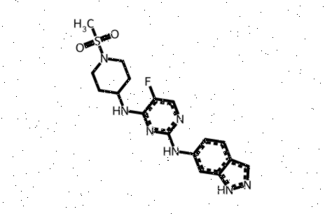 CS(=O)(=O)N1CCC(Nc2nc(Nc3ccc4cn[nH]c4c3)ncc2F)CC1